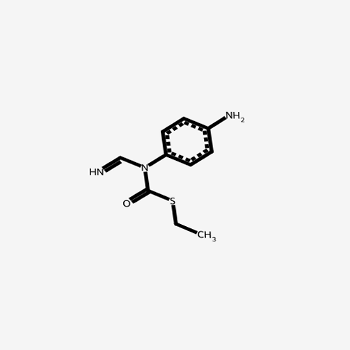 CCSC(=O)N(C=N)c1ccc(N)cc1